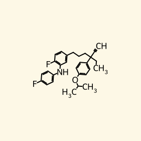 C#CC(CC)(CCCc1ccc(F)c(Nc2ccc(F)cc2)c1)c1ccc(OC(C)C)cc1